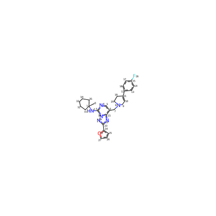 CC1(Nc2ncc(CN3CC=C(c4ccc(F)cc4)CC3)c3nc(-c4ccco4)nn23)CCCCC1